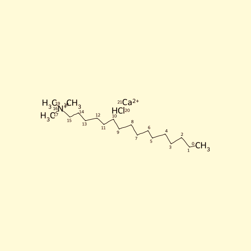 CCCCCCCCCCCCCCCC[N+](C)(C)C.Cl.[Ca+2]